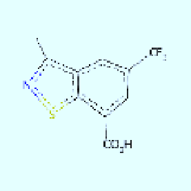 Cc1nsc2c(C(=O)O)cc(C(F)(F)F)cc12